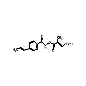 C/C=C/c1ccc(C(=O)NOC(=O)/C(C)=C/CCCCC)cc1